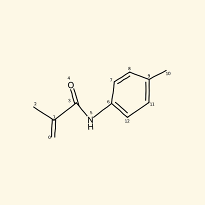 C=C(C)C(=O)Nc1ccc(C)cc1